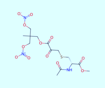 COC(=O)[C@@H](CSCC(=O)C(=O)OCC(C)(CO[N+](=O)[O-])CO[N+](=O)[O-])NC(C)=O